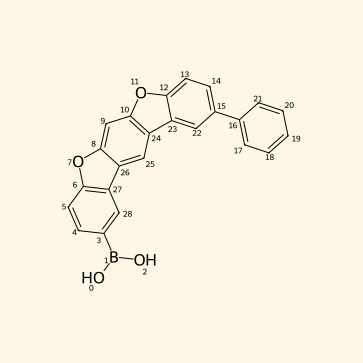 OB(O)c1ccc2oc3cc4oc5ccc(-c6ccccc6)cc5c4cc3c2c1